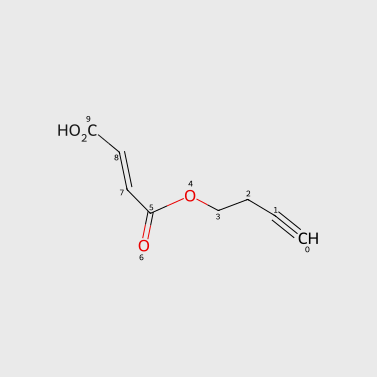 C#CCCOC(=O)C=CC(=O)O